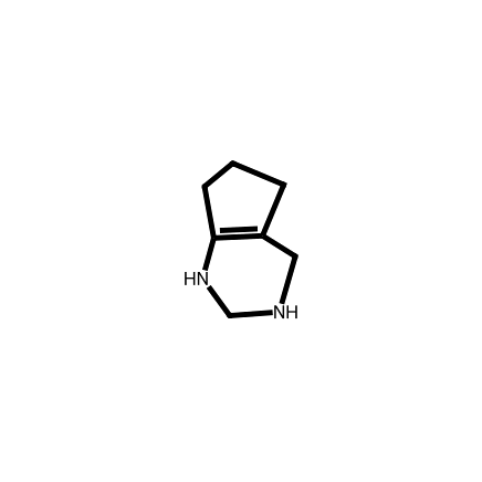 C1CC2=C(C1)NCNC2